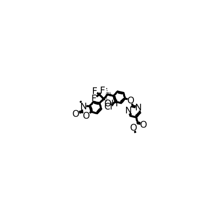 COC(=O)c1cnc(Oc2ccc([C@@H](C)[C@@](O)(c3ccc4oc(=O)n(C)c4c3)C(F)(F)F)c(Cl)c2)nc1